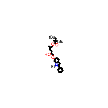 CCn1c(-c2ccccc2)cc2ccc(OCC(O)CCC(C)COC(=O)C(C)(CC(C)(C)C)C(C)(C)C)cc21